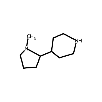 CN1CCCC1C1CCNCC1